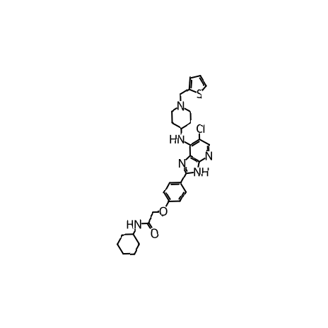 O=C(COc1ccc(-c2nc3c(NC4CCN(Cc5cccs5)CC4)c(Cl)cnc3[nH]2)cc1)NC1CCCCC1